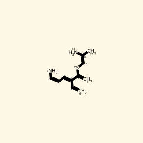 C=C/C(=C\C=C/N)C(=C)S/C=C(/C)N